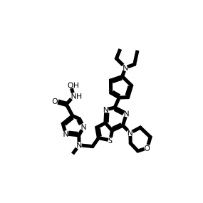 CCN(CC)c1ccc(-c2nc(N3CCOCC3)c3sc(CN(C)c4ncc(C(=O)NO)cn4)cc3n2)cc1